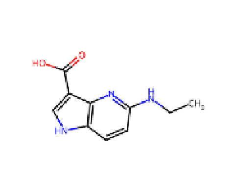 CCNc1ccc2[nH]cc(C(=O)O)c2n1